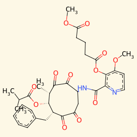 COC(=O)CCCC(=O)Oc1c(OC)ccnc1C(=O)N[C@H]1CC(=O)C(=O)[C@H](Cc2ccccc2)[C@H](OC(=O)C(C)C)[C@H](C)C(=O)C1=O